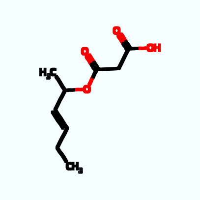 CCC=CC(C)OC(=O)CC(=O)O